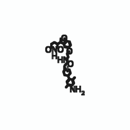 Cc1cc(C2CCN(CC(=O)NCCOc3ccc4occ(C5CCC(=O)NC5=O)c4c3)CC2)c(C)cc1N